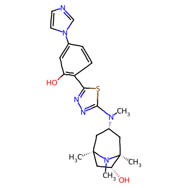 CN(c1nnc(-c2ccc(-n3ccnc3)cc2O)s1)[C@H]1C[C@]2(C)C[C@@H](O)[C@](C)(C1)N2C